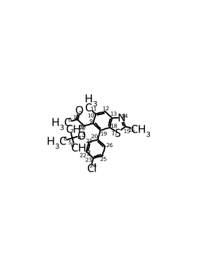 CC(=O)[C@@H](OC(C)(C)C)c1c(C)cc2nc(C)sc2c1-c1ccc(Cl)cc1